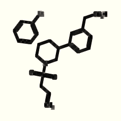 C=CCS(=O)(=O)N1CCCC(c2cccc(CC(=O)O)c2)C1.CCc1ccccc1